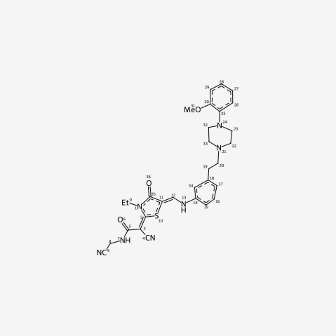 CCn1c(=C(C#N)C(=O)NCC#N)sc(=CNc2cccc(CCN3CCN(c4ccccc4OC)CC3)c2)c1=O